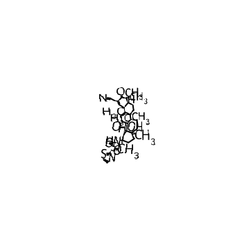 CC1(C)C(=O)C(C#N)=C[C@]2(C)C3=CC(=O)[C@]4(O)[C@@H]5C[C@@](C)(NS(=O)(=O)c6nccs6)CC[C@@]5(C)CC[C@@]4(C)[C@]3(C)CC[C@@H]12